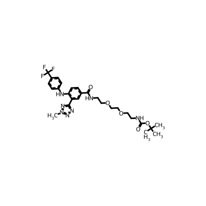 Cn1nnc(-c2cc(C(=O)NCCOCCOCCNC(=O)OC(C)(C)C)ccc2Nc2ccc(C(F)(F)F)cc2)n1